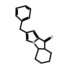 O=C1c2cc(Cc3ccccc3)cn2C2CCCCC12